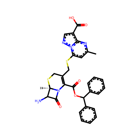 Cc1cc(SCC2=C(C(=O)OC(c3ccccc3)c3ccccc3)N3C(=O)C(N)[C@H]3SC2)n2ncc(C(=O)O)c2n1